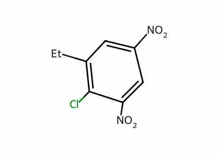 CCc1cc([N+](=O)[O-])cc([N+](=O)[O-])c1Cl